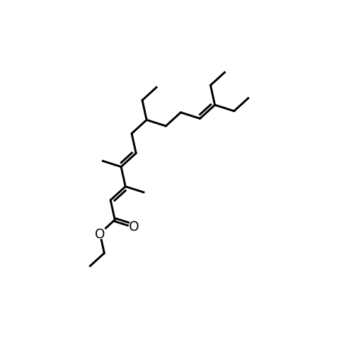 CCOC(=O)/C=C(C)/C(C)=C/CC(CC)CCC=C(CC)CC